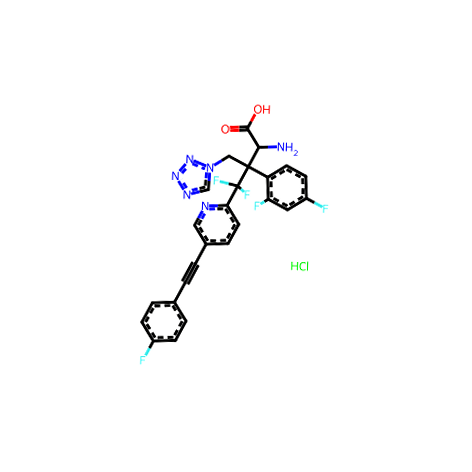 Cl.NC(C(=O)O)C(Cn1cnnn1)(c1ccc(F)cc1F)C(F)(F)c1ccc(C#Cc2ccc(F)cc2)cn1